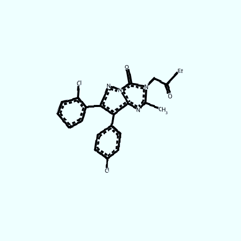 CCC(=O)Cn1c(C)nc2c(-c3ccc(Cl)cc3)c(-c3ccccc3Cl)nn2c1=O